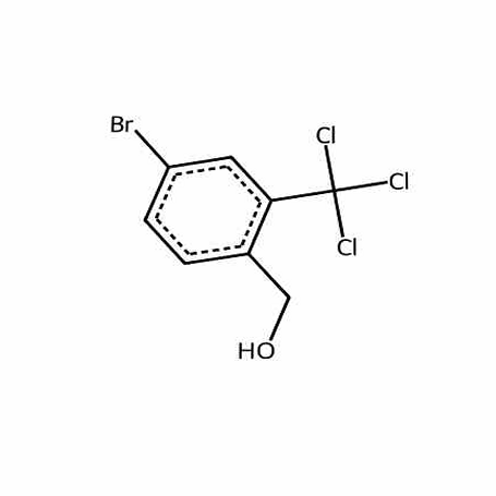 OCc1ccc(Br)cc1C(Cl)(Cl)Cl